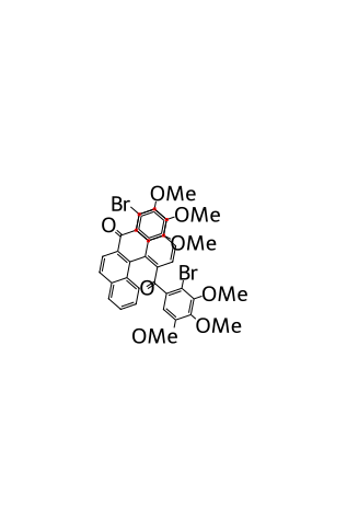 COc1cc(C(=O)c2ccc3ccccc3c2-c2c(C(=O)c3cc(OC)c(OC)c(OC)c3Br)ccc3ccccc23)c(Br)c(OC)c1OC